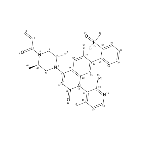 C=CC(=O)N1C[C@H](C)N(c2nc(=O)n(-c3c(C)ccnc3C(C)C)c3nc(-c4ccccc4P(C)(C)=O)c(F)cc23)C[C@H]1C